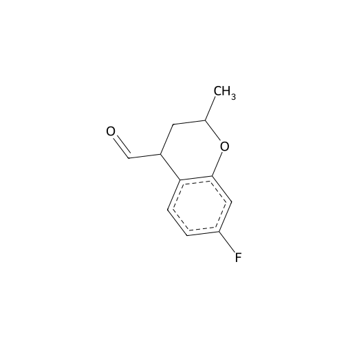 CC1CC(C=O)c2ccc(F)cc2O1